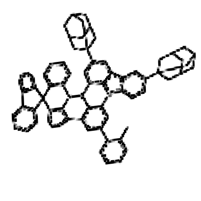 Cc1ccccc1-c1cc2c3c(c1)-n1c4ccc(C56CC7CC(CC(C7)C5)C6)cc4c4cc(C56CC7CC(CC(C7)C5)C6)cc(c41)B3N1c3ccccc3C3(c4ccccc4-c4ccccc43)c3cccc-2c31